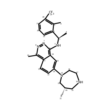 Cc1c([C@@H](C)Nc2nnc(C)c3ccc(N4CCNC[C@H](F)C4)cc23)cccc1C(F)(F)F